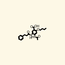 CCCCOc1cc(NC(C)=O)c(NC(=O)CCc2ccccc2)cc1C(=O)O